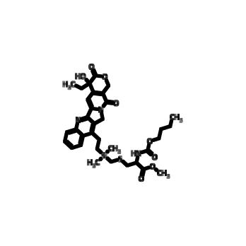 CCCCOC(=O)NC(CSC[Si](C)(C)CCc1c2c(nc3ccccc13)-c1cc3c(c(=O)n1C2)COC(=O)C3(O)CC)C(=O)OC